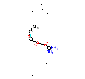 Nc1cc(N)cc(C(=O)OCCCCOC(=O)C=Cc2ccc(OC(F)(F)C3CCC(CCC(F)(F)F)CC3)cc2)c1